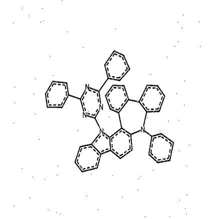 c1ccc(-c2nc(-c3ccccc3)nc(-n3c4ccccc4c4ccc5c(c43)-c3ccccc3-c3ccccc3N5c3ccccc3)n2)cc1